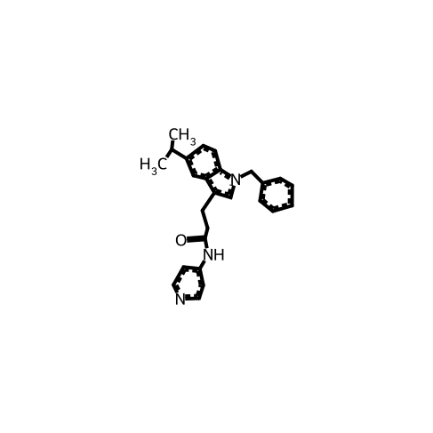 CC(C)c1ccc2c(c1)c(CCC(=O)Nc1ccncc1)cn2Cc1ccccc1